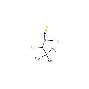 CC(N(C)C=S)C(C)(C)C